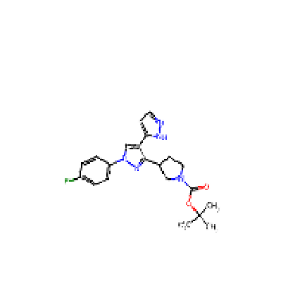 CC(C)(C)OC(=O)N1CCC(c2nn(-c3ccc(F)cc3)cc2-c2ccn[nH]2)C1